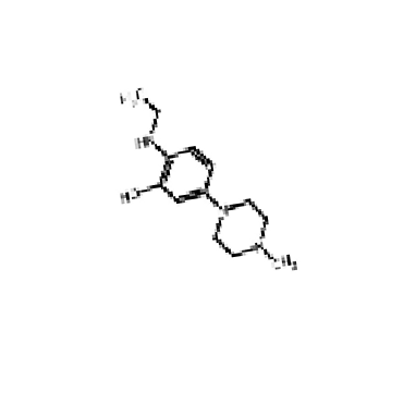 CCNc1ccc(N2CCN(C)CC2)cc1O